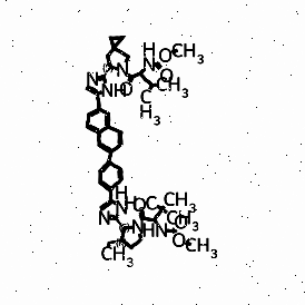 CC[C@@H]1CCN(C(=O)C(NC(=O)OC)C(C)(C)C)[C@@H]1c1ncc(-c2ccc(-c3ccc4cc(-c5cnc([C@@H]6CC7(CC7)CN6C(=O)C(NC(=O)OC)C(C)C)[nH]5)ccc4c3)cc2)[nH]1